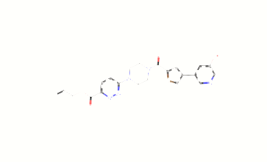 C=CCOC(=O)c1ccc(N2CCN(C(=O)c3cc(-c4cncc(O)c4)cs3)CC2)nn1